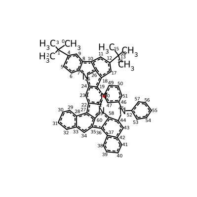 CC(C)(C)c1ccc2c(c1)c1cc(C(C)(C)C)cc3c4nc5c(cc4n2c13)c1c2ccccc2cc2c3c4ccccc4cc(N(c4ccccc4)c4ccccc4)c3n5c21